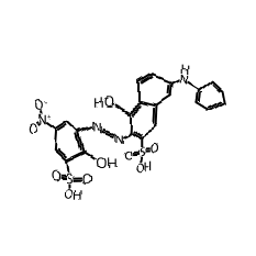 O=[N+]([O-])c1cc(N=Nc2c(S(=O)(=O)O)cc3cc(Nc4ccccc4)ccc3c2O)c(O)c(S(=O)(=O)O)c1